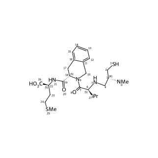 CN[C@@H](CS)CN[C@H](C(=O)N1Cc2ccccc2C[C@H]1C(=O)N[C@@H](CCSC)C(=O)O)C(C)C